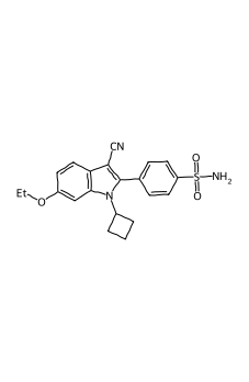 CCOc1ccc2c(C#N)c(-c3ccc(S(N)(=O)=O)cc3)n(C3CCC3)c2c1